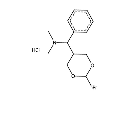 CC(C)C1OCC(C(c2ccccc2)N(C)C)CO1.Cl